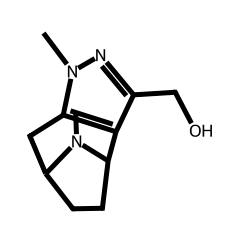 CN1C2CCC1c1c(CO)nn(C)c1C2